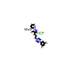 CSc1cccnc1-n1ncc(/C=C/CN2CCN(c3cc(F)cc(F)c3)CC2)c1C.Cl